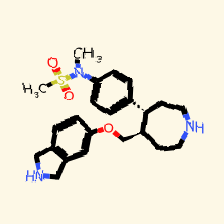 CN(c1ccc([C@@H]2CCNCC[C@H]2COc2ccc3c(c2)CNC3)cc1)S(C)(=O)=O